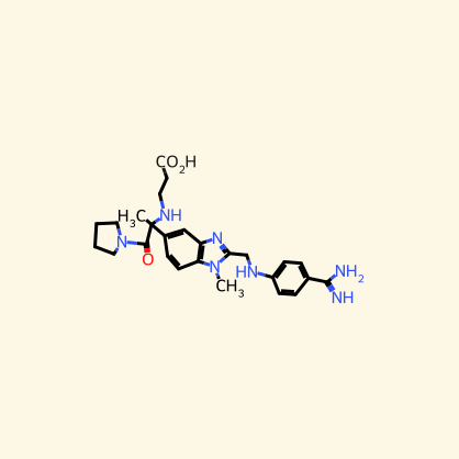 Cn1c(CNc2ccc(C(=N)N)cc2)nc2cc(C(C)(NCCC(=O)O)C(=O)N3CCCC3)ccc21